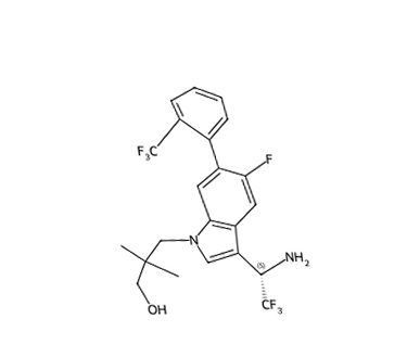 CC(C)(CO)Cn1cc([C@H](N)C(F)(F)F)c2cc(F)c(-c3ccccc3C(F)(F)F)cc21